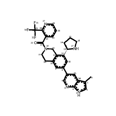 Cc1c[nH]c2ncc(-c3cc4c(c([C@@H]5CCCN5)c3)CN(C(=O)c3cccnc3C(F)(F)F)CC4)cc12